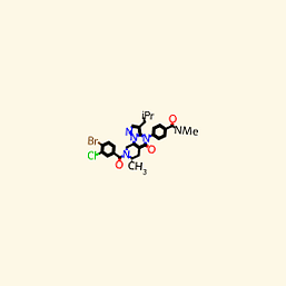 CNC(=O)c1ccc(-n2c(=O)c3c(n4ncc(CC(C)C)c24)CN(C(=O)c2ccc(Br)c(Cl)c2)[C@@H](C)C3)cc1